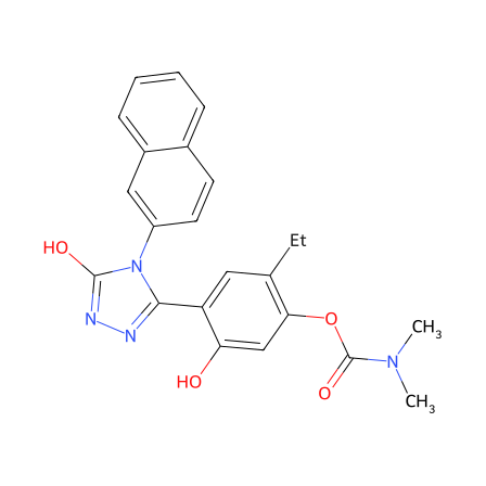 CCc1cc(-c2nnc(O)n2-c2ccc3ccccc3c2)c(O)cc1OC(=O)N(C)C